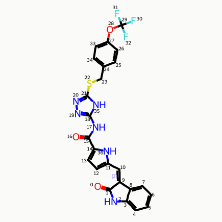 O=C1Nc2ccccc2/C1=C/c1ccc(C(=O)Nc2nnc(SCc3ccc(OC(F)(F)F)cc3)[nH]2)[nH]1